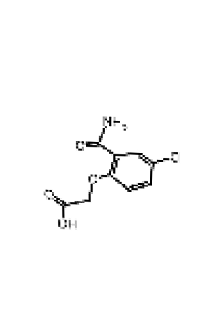 NC(=O)c1cc(Cl)ccc1OCC(=O)O